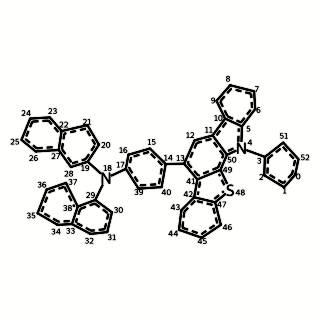 c1ccc(-n2c3ccccc3c3cc(-c4ccc(N(c5ccc6ccccc6c5)c5cccc6ccccc56)cc4)c4c5ccccc5sc4c32)cc1